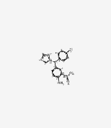 Nc1ccc(C(c2ccc(Cl)cc2)n2cncn2)cc1[N+](=O)[O-]